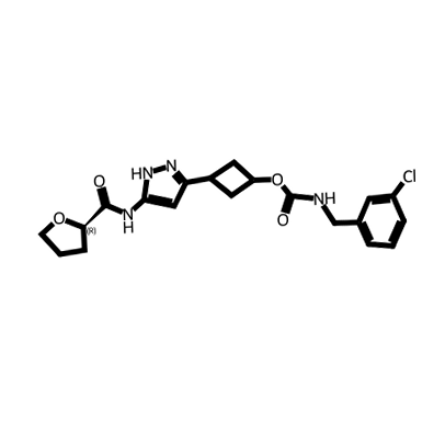 O=C(NCc1cccc(Cl)c1)OC1CC(c2cc(NC(=O)[C@H]3CCCO3)[nH]n2)C1